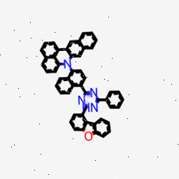 N=C(/N=C(\N=C\c1cccc2oc3ccccc3c12)c1ccc(N2c3cc4ccccc4cc3-c3cccc4cccc2c34)c2ccccc12)c1ccccc1